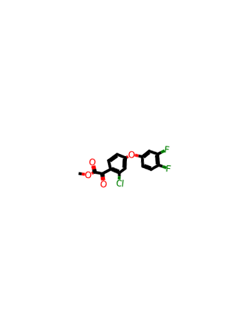 COC(=O)C(=O)c1ccc(Oc2ccc(F)c(F)c2)cc1Cl